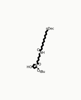 CCCCCCCCCCCCCCCCCCCCCC(=O)NCCCCCC(=O)N1C[C@H](O)C[C@H]1COC(C)(C)C